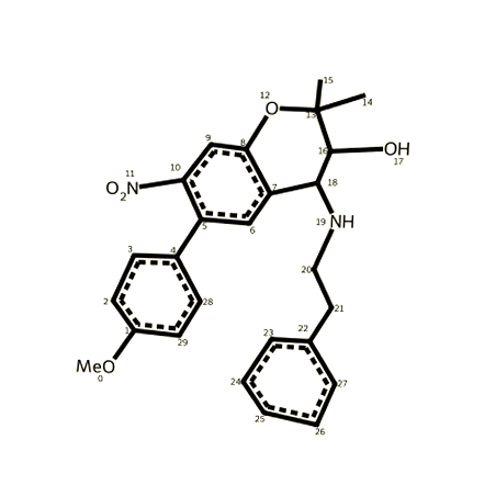 COc1ccc(-c2cc3c(cc2[N+](=O)[O-])OC(C)(C)C(O)C3NCCc2ccccc2)cc1